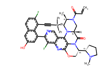 C=CC(=O)N1C[C@@H]2C(=O)N3c4c(nc5c(F)c(-c6cc(O)cc7ccc(F)c(C#C[Si](C(C)C)(C(C)C)C(C)C)c67)ncc5c4N2C[C@H]1C)OC[C@H]3[C@@H]1CCCN1C